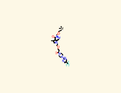 Cc1cn(CCOC=CC(=O)N2CCN(c3ncc(C(F)(F)F)cn3)CC2)c2cnn(COCC[Si](C)(C)C)c(=O)c12